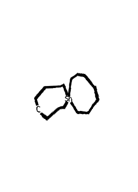 C1CC[CH2][Sn]2([CH2]C1)[CH2]CCCC[CH2]2